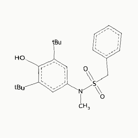 CN(c1cc(C(C)(C)C)c(O)c(C(C)(C)C)c1)S(=O)(=O)Cc1ccccc1